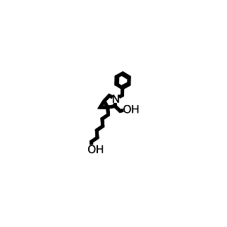 OCCCCCCC12CC1CN(Cc1ccccc1)C2CO